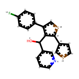 OC(c1cccnc1)c1c(-c2ccc(F)cc2)csc1-c1ccsc1